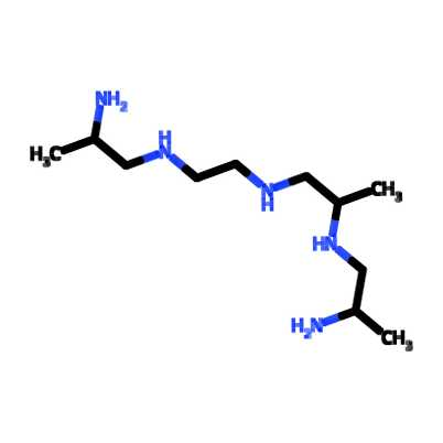 CC(N)CNCCNCC(C)NCC(C)N